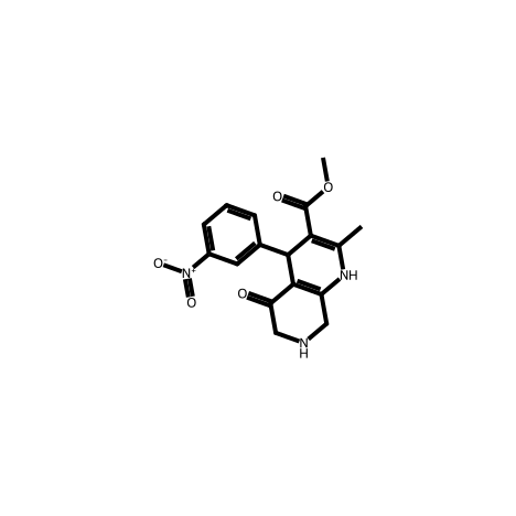 COC(=O)C1=C(C)NC2=C(C(=O)CNC2)C1c1cccc([N+](=O)[O-])c1